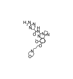 COc1c(OCCCN2CCOCC2)ccc2c1N=C(NC(=O)C1C=NC(N)=NC1)N1CCN=C21